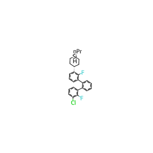 CCC[Si@H]1CC[C@H](c2cccc(-c3ccccc3-c3cccc(Cl)c3F)c2F)CC1